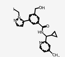 Cc1ccnc(C(NC(=O)c2cc(CO)cc(-c3ccnn3CI)c2)C2CC2)c1